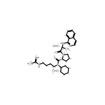 C[C@](C=O)(Nc1nccc2ccccc12)C(=O)N1CCC[C@H]1C(=O)N(C1CCCCC1)[C@H](C=O)CCCNC(=N)N